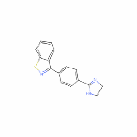 c1ccc2c(-c3ccc(C4=NCCN4)cc3)nsc2c1